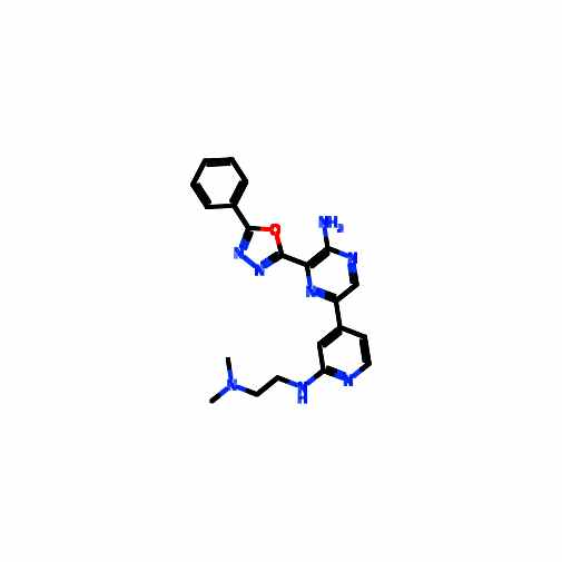 CN(C)CCNc1cc(-c2cnc(N)c(-c3nnc(-c4ccccc4)o3)n2)ccn1